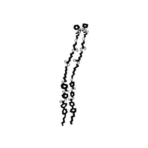 CCCCCC1CCC(C2CCC(C(=O)Oc3ccc(OC(=O)c4ccc(OCCCCCCCCOC(=O)CCCCCOC(=O)CCOCCC[Si](C)(C)O[Si](C)(O[Si](C)(O[Si](C)(C)CCCOCCC(=O)OCCCCCC(=O)OCCCCCCCCOc5ccc(C(=O)Oc6ccc(OC(=O)C7CCC(C8CCC(CCCCC)CC8)CC7)cc6)cc5)c5ccccc5)c5ccccc5)cc4)cc3)CC2)CC1